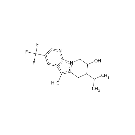 Cc1c2n(c3ncc(C(F)(F)F)cc13)CC(O)C(C(C)C)C2